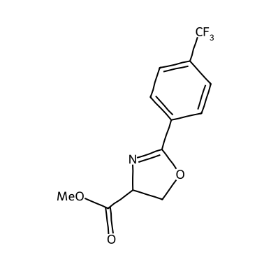 COC(=O)C1COC(c2ccc(C(F)(F)F)cc2)=N1